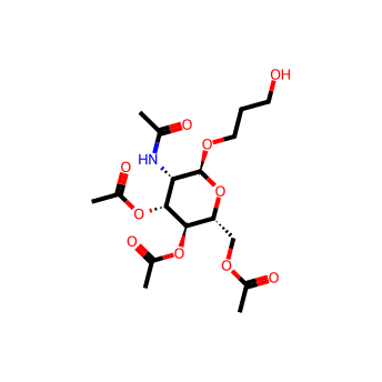 CC(=O)N[C@@H]1[C@@H](OCCCO)O[C@H](COC(C)=O)[C@@H](OC(C)=O)[C@@H]1OC(C)=O